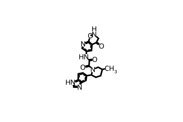 CC1CCC(c2ccc3[nH]cnc3c2)N(C(=O)C(=O)Nc2cnc3c(c2)C(=O)CNO3)C1